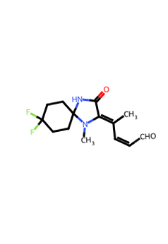 CC(/C=C\C=O)=C1\C(=O)NC2(CCC(F)(F)CC2)N1C